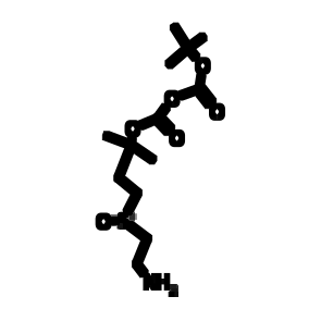 CC(C)(C)OC(=O)OC(=O)OC(C)(C)CC[S+]([O-])CCN